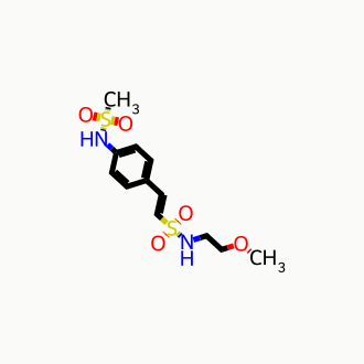 COCCNS(=O)(=O)/C=C/c1ccc(NS(C)(=O)=O)cc1